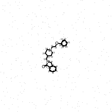 O=C1c2ccccc2CN1CC1CCN(CCOc2ccccc2)CC1